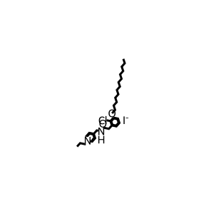 CCCCCCCCCCCCCCOc1cccc(CC(=O)NCc2cc[n+](CCC)cc2)c1Cl.[I-]